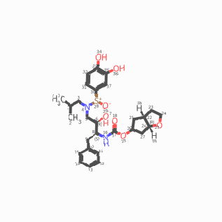 CC(C)CN(C[C@@H](O)[C@H](Cc1ccccc1)NC(=O)OC1C[C@@H]2CCO[C@@H]2C1)[S+]([O-])c1ccc(O)c(O)c1